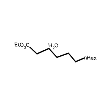 CCCCCCCCCCCC(=O)OCC.O